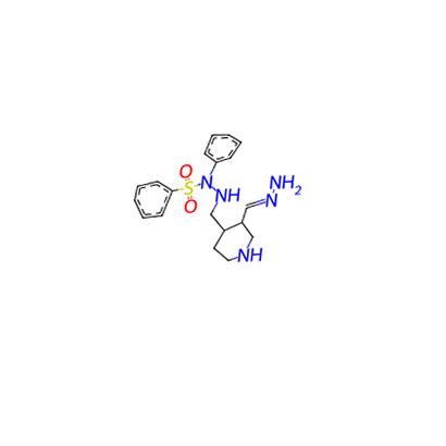 NN=CC1CNCCC1CNN(c1ccccc1)S(=O)(=O)c1ccccc1